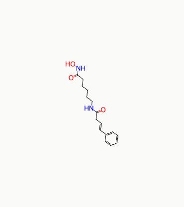 O=C(CCCCCNC(=O)CC=Cc1ccccc1)NO